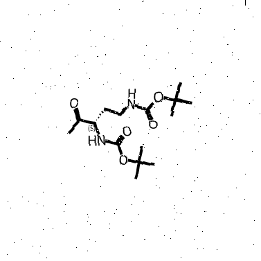 CC(=O)[C@H](CCNC(=O)OC(C)(C)C)NC(=O)OC(C)(C)C